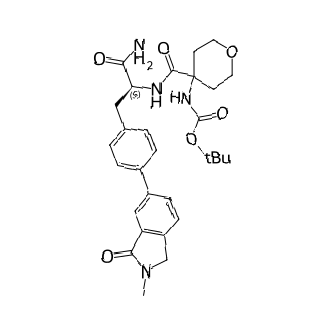 CN1Cc2ccc(-c3ccc(C[C@H](NC(=O)C4(NC(=O)OC(C)(C)C)CCOCC4)C(N)=O)cc3)cc2C1=O